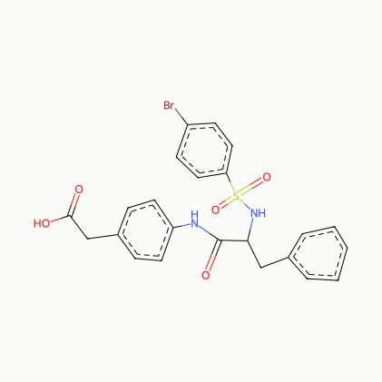 O=C(O)Cc1ccc(NC(=O)C(Cc2ccccc2)NS(=O)(=O)c2ccc(Br)cc2)cc1